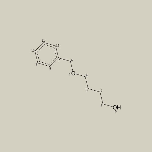 OCCC[CH]OCc1ccccc1